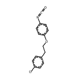 O=C=Nc1ccc(OCCc2ccc(Cl)cc2)cc1